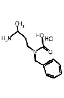 CC(N)CCN(Cc1ccccc1)C(=O)O.Cl